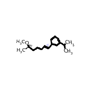 CO[C@H](C)CCC/C=C/c1cccc(C(C)C)c1